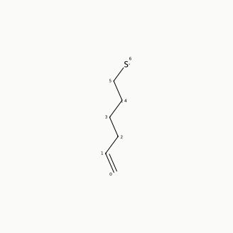 C=CCC[CH]C[S]